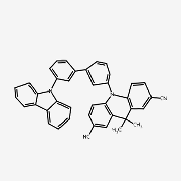 CC1(C)c2cc(C#N)ccc2N(c2cccc(-c3cccc(-n4c5ccccc5c5ccccc54)c3)c2)c2ccc(C#N)cc21